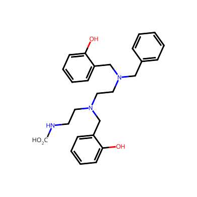 O=C(O)NCCN(CCN(Cc1ccccc1)Cc1ccccc1O)Cc1ccccc1O